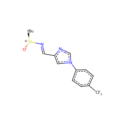 CC(C)(C)[S@+]([O-])N=Cc1cn(-c2ccc(C(F)(F)F)cc2)cn1